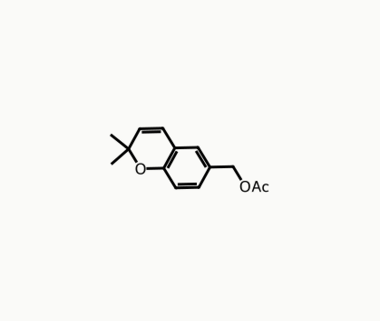 CC(=O)OCc1ccc2c(c1)C=CC(C)(C)O2